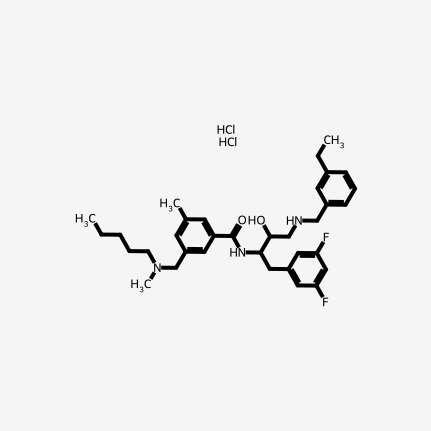 CCCCCN(C)Cc1cc(C)cc(C(=O)NC(Cc2cc(F)cc(F)c2)C(O)CNCc2cccc(CC)c2)c1.Cl.Cl